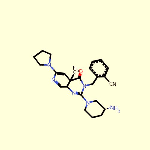 CC12C=C(N3CCCC3)N=CC1N=C(N1CCC[C@@H](N)C1)N(Cc1ccccc1C#N)C2=O